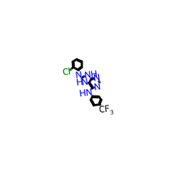 FC(F)(F)c1ccc(Nc2ncnc3[nH]c(Nc4ccccc4Cl)nc23)cc1